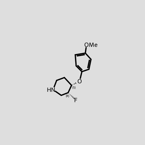 COc1ccc(O[C@H]2CCNC[C@H]2F)cc1